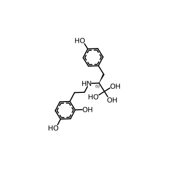 Oc1ccc(C[C@H](NCCc2ccc(O)cc2O)C(O)(O)O)cc1